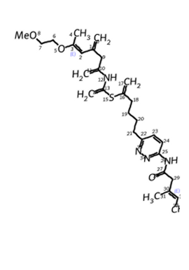 C=C(/C=C(\C)OCCOC)CC(=C)NC(=C)SC(=C)CCCCc1ccc(NC(=O)C/C(C)=C/C)nn1